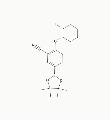 CC1(C)OB(c2ccc(O[C@H]3CCCC[C@H]3F)c(C#N)c2)OC1(C)C